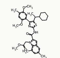 COC(=O)Cn1c(C(=O)Nc2nc(-c3cc(OC)c(C)cc3OC)c(C(C)C3CCCCC3)s2)cc2cc(C)cc(C)c21